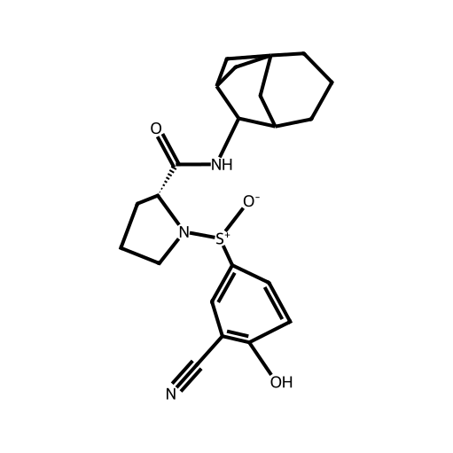 N#Cc1cc([S+]([O-])N2CCC[C@@H]2C(=O)NC2C3CCCC4(C3)CC2C4)ccc1O